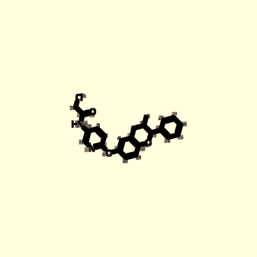 CC1Cc2cc(Oc3ccc(NC(=O)CCl)cn3)ccc2OC1c1ccccc1